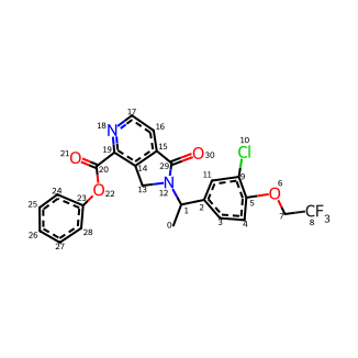 CC(c1ccc(OCC(F)(F)F)c(Cl)c1)N1Cc2c(ccnc2C(=O)Oc2ccccc2)C1=O